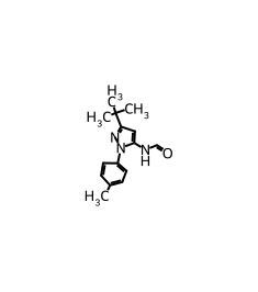 Cc1ccc(-n2nc(C(C)(C)C)cc2NC=O)cc1